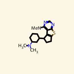 CNc1ncnc2sc3c(c12)C(C1CCC[C@H](N(C)C)C1)CC3